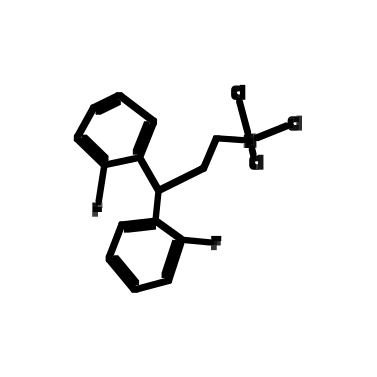 Fc1ccccc1C(CC[Si](Cl)(Cl)Cl)c1ccccc1F